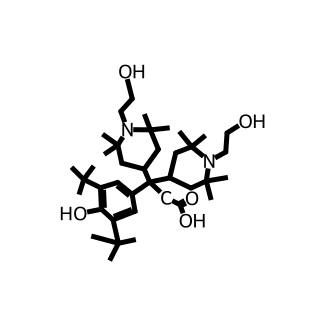 CC(C)(C)c1cc(C(CC(=O)O)(C2CC(C)(C)N(CCO)C(C)(C)C2)C2CC(C)(C)N(CCO)C(C)(C)C2)cc(C(C)(C)C)c1O